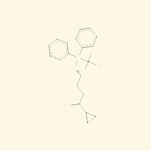 CC(C)(C)[Si](OCCCC(O)C1CC1)(c1ccccc1)c1ccccc1